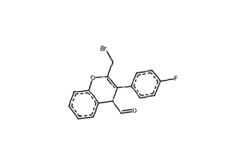 O=CC1C(c2ccc(F)cc2)=C(CBr)Oc2ccccc21